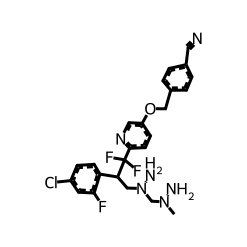 CN(N)CN(N)CC(c1ccc(Cl)cc1F)C(F)(F)c1ccc(OCc2ccc(C#N)cc2)cn1